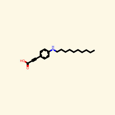 CCCCCCCCCCNc1ccc(C#CC(=O)O)cc1